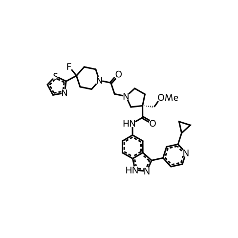 COC[C@@]1(C(=O)Nc2ccc3[nH]nc(-c4ccnc(C5CC5)c4)c3c2)CCN(CC(=O)N2CCC(F)(c3nccs3)CC2)C1